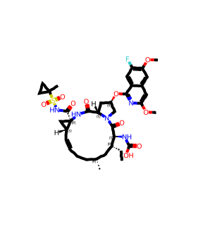 CC[C@@H]1C[C@H](C)CCC=C[C@@H]2C[C@@]2(C(=O)NS(=O)(=O)C2(C)CC2)NC(=O)[C@@H]2C[C@@H](Oc3nc(OC)cc4cc(OC)c(F)cc34)CN2C(=O)[C@H]1NC(=O)O